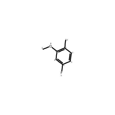 [CH2]c1ccc(F)cc1OC